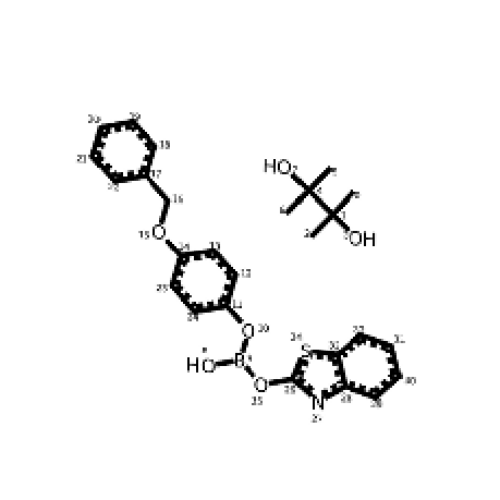 CC(C)(O)C(C)(C)O.OB(Oc1ccc(OCc2ccccc2)cc1)Oc1nc2ccccc2s1